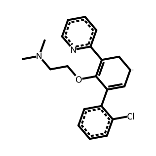 CN(C)CCOC1=C(c2ccccn2)C[CH]C=C1c1ccccc1Cl